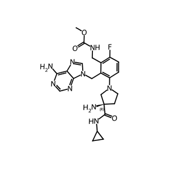 COC(=O)NCc1c(F)ccc(N2CC[C@](N)(C(=O)NC3CC3)C2)c1Cn1cnc2c(N)ncnc21